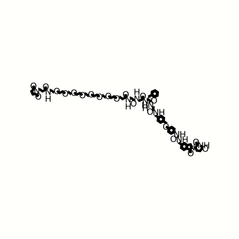 O=C(CCN1C(=O)C=CC1=O)NCCOCCOCCOCCOCCOCCOCCOCCOCCC(=O)NCC(=O)NCC(=O)N[C@@H](Cc1ccccc1)C(=O)NCC(=O)NCc1ccc(COc2ccc(NC(=O)NCc3ccc4c(c3)CN(C3CCC(=O)NC3=O)C4=O)cc2)cc1